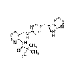 CC(C)(C)C(=O)Nc1ncccc1CNc1ccc(Cc2c[nH]c3ncccc23)cn1